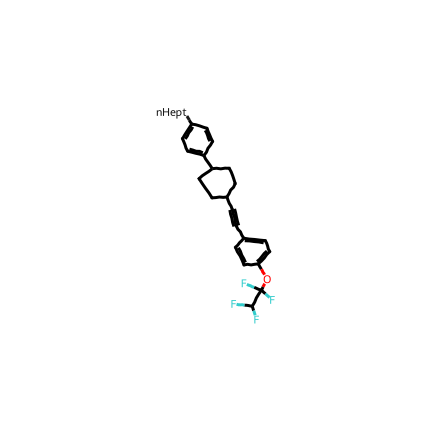 CCCCCCCc1ccc(C2CCC(C#Cc3ccc(OC(F)(F)C(F)F)cc3)CC2)cc1